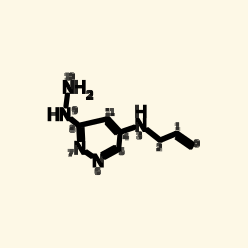 C=CCNc1cnnc(NN)c1